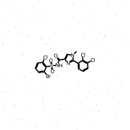 Cn1cc(C(=O)NS(=O)(=O)c2c(Cl)cccc2Br)nc1-c1cccc(Cl)c1Cl